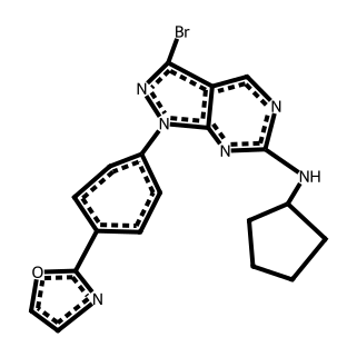 Brc1nn(-c2ccc(-c3ncco3)cc2)c2nc(NC3CCCC3)ncc12